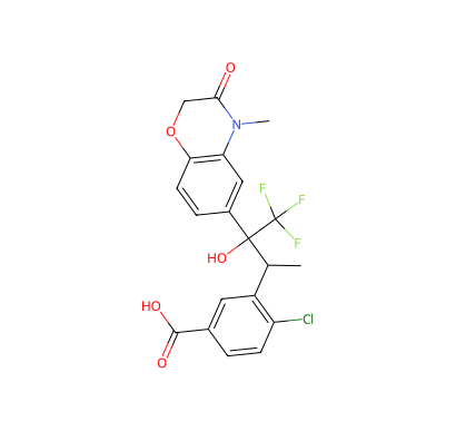 CC(c1cc(C(=O)O)ccc1Cl)C(O)(c1ccc2c(c1)N(C)C(=O)CO2)C(F)(F)F